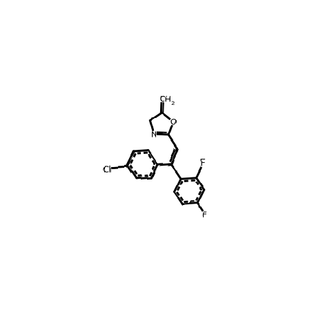 C=C1CN=C(/C=C(\c2ccc(Cl)cc2)c2ccc(F)cc2F)O1